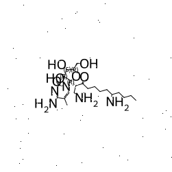 CCCCC(N)CCCCC(=O)C(CN)[C@@]1(n2cc(C)c(N)nc2=O)O[C@H](CO)[C@@H](O)[C@H]1O